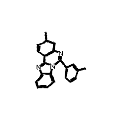 Cc1cccc(-c2nc3c(c4nc5ccccc5n24)C=CC(C)C3)c1